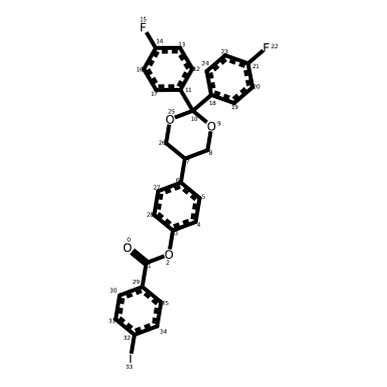 O=C(Oc1ccc(C2COC(c3ccc(F)cc3)(c3ccc(F)cc3)OC2)cc1)c1ccc(I)cc1